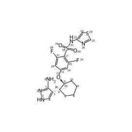 Nc1n[nH]cc1[C@H]1CCCC[C@@H]1Oc1cc(F)c(S(=O)(=O)Nc2cscn2)c(F)c1